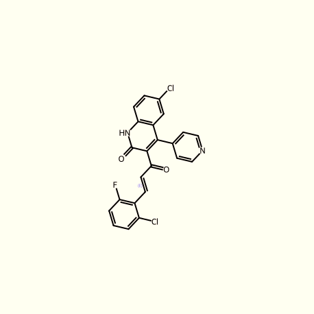 O=C(/C=C/c1c(F)cccc1Cl)c1c(-c2ccncc2)c2cc(Cl)ccc2[nH]c1=O